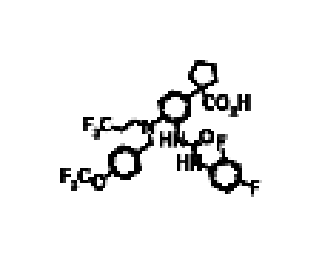 O=C(Nc1ccc(F)cc1F)Nc1cc(C2(C(=O)O)CCCC2)ccc1N(CCC(F)(F)F)Cc1ccc(OC(F)(F)F)cc1